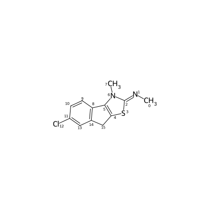 CN=c1sc2c(n1C)-c1ccc(Cl)cc1C2